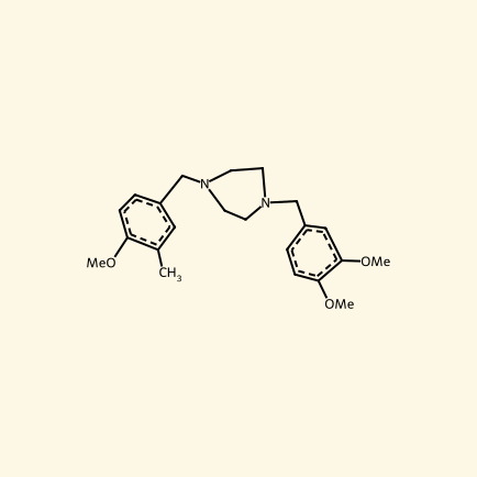 COc1ccc(CN2CCN(Cc3ccc(OC)c(OC)c3)CC2)cc1C